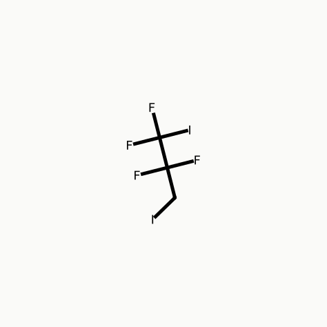 FC(F)(I)C(F)(F)CI